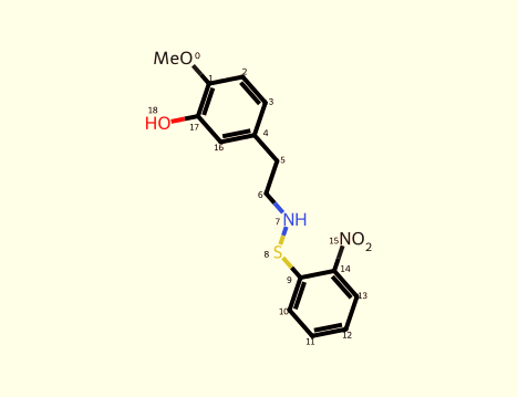 COc1ccc(CCNSc2ccccc2[N+](=O)[O-])cc1O